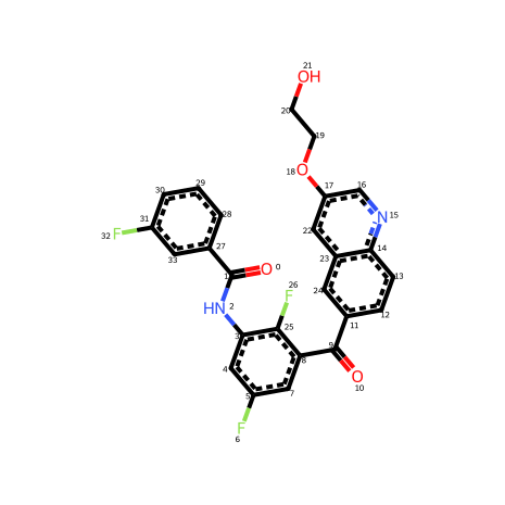 O=C(Nc1cc(F)cc(C(=O)c2ccc3ncc(OCCO)cc3c2)c1F)c1cccc(F)c1